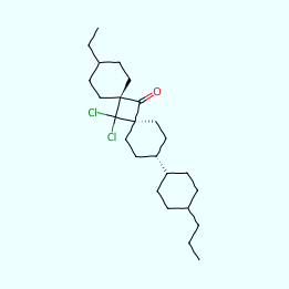 CCCC1CCC([C@H]2CC[C@@]3(CC2)C(=O)[C@]2(CCC(CC)CC2)C3(Cl)Cl)CC1